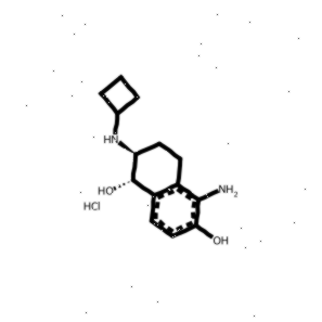 Cl.Nc1c(O)ccc2c1CC[C@H](NC1CCC1)[C@H]2O